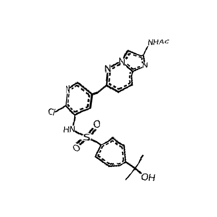 CC(=O)Nc1cn2nc(-c3cnc(Cl)c(NS(=O)(=O)c4ccc(C(C)(C)O)cc4)c3)ccc2n1